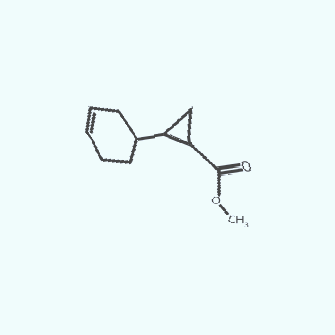 COC(=O)C1CC1C1CC=CCC1